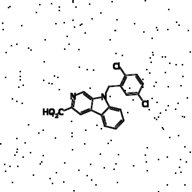 O=C(O)c1cc2c3ccccc3n(Cc3cc(Cl)ccc3Cl)c2cn1